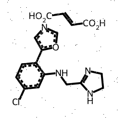 Clc1ccc(-c2cnco2)c(NCC2=NCCN2)c1.O=C(O)C=CC(=O)O